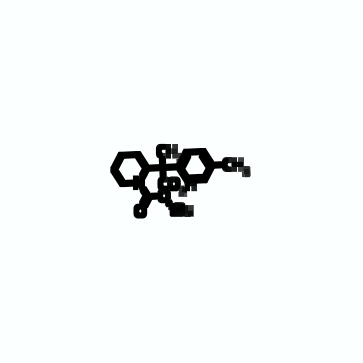 Cc1ccc(C(C)(C(=O)O)C2CCCCN2C(=O)OC(C)(C)C)cc1